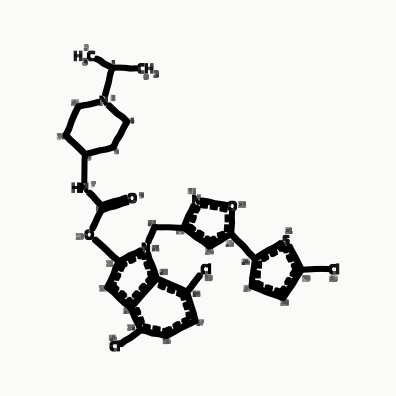 CC(C)N1CCC(NC(=O)Oc2cc3c(Cl)ccc(Cl)c3n2Cc2cc(-c3ccc(Cl)s3)on2)CC1